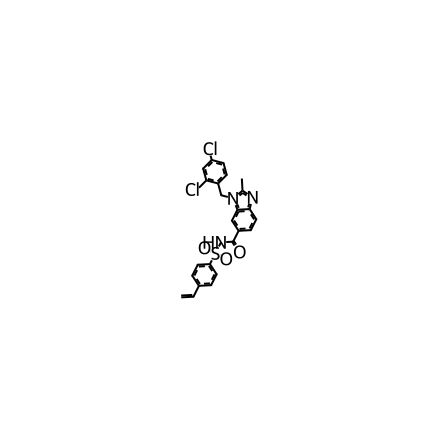 C=Cc1ccc(S(=O)(=O)NC(=O)c2ccc3nc(C)n(Cc4ccc(Cl)cc4Cl)c3c2)cc1